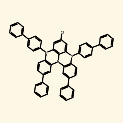 Clc1cc2c3c(c1)N(c1ccc(-c4ccccc4)cc1)c1ccc(-c4ccccc4)cc1B3c1cc(-c3ccccc3)ccc1N2c1ccc(-c2ccccc2)cc1